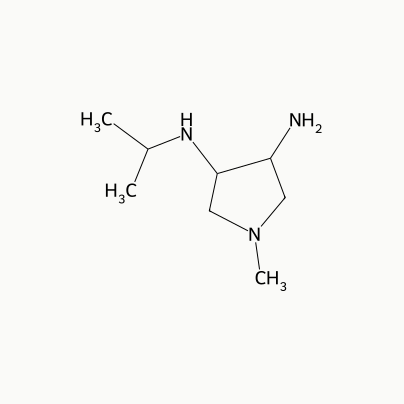 CC(C)NC1CN(C)CC1N